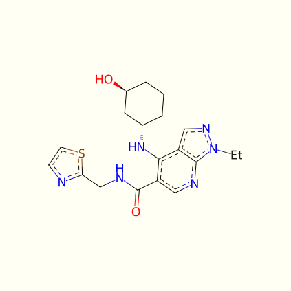 CCn1ncc2c(N[C@H]3CCC[C@H](O)C3)c(C(=O)NCc3nccs3)cnc21